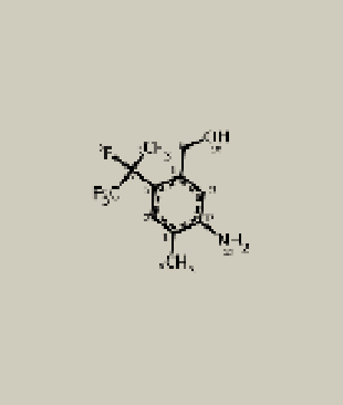 Cc1cc(C(F)(C(F)(F)F)C(F)(F)F)c(CO)cc1N